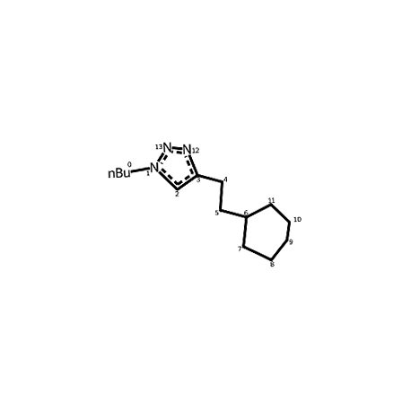 CCCCn1cc(CCC2CCCCC2)nn1